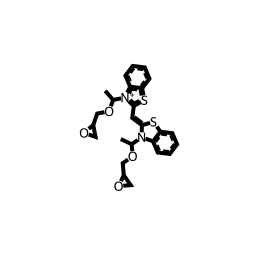 CC(OCC1CO1)N1/C(=C/c2sc3ccccc3[n+]2C(C)OCC2CO2)Sc2ccccc21